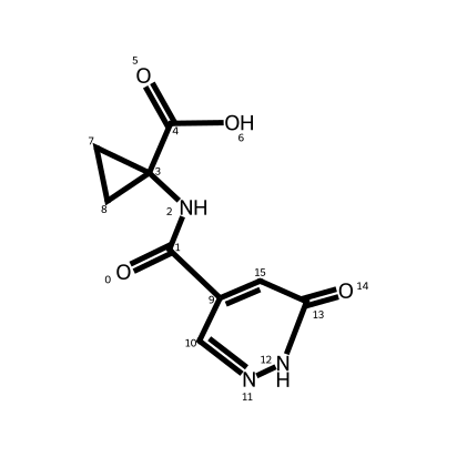 O=C(NC1(C(=O)O)CC1)c1cn[nH]c(=O)c1